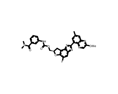 COc1cnc2c(-c3nc4cc(F)c5c(c4s3)C[C@H](COC(=O)Nc3cccc(C(=O)N(C)C)c3)O5)cc(C)cc2n1